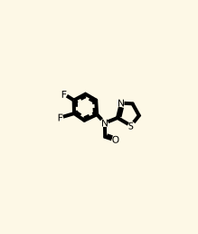 O=CN(C1=NCCS1)c1ccc(F)c(F)c1